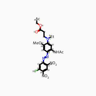 CCN(CCC(=O)OCC(C)=O)c1cc(NC(C)=O)c(/N=N/c2cc(F)c([N+](=O)[O-])cc2[N+](=O)[O-])cc1OC